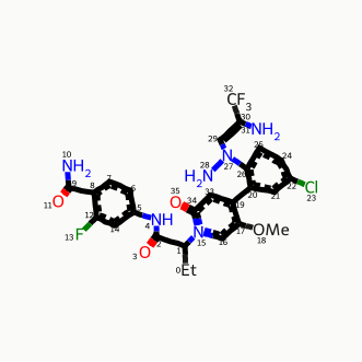 CCC(C(=O)Nc1ccc(C(N)=O)c(F)c1)n1cc(OC)c(-c2cc(Cl)ccc2N(N)/C=C(\N)C(F)(F)F)cc1=O